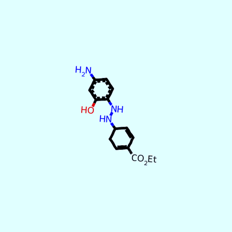 CCOC(=O)C1=CCC(NNc2ccc(N)cc2O)C=C1